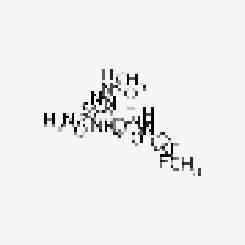 C[C@H](CO)Nc1nc(-c2cccc(NC(=O)Nc3ccc(C(C)(F)F)cc3)c2)c2c(N)c(C(N)=O)sc2n1